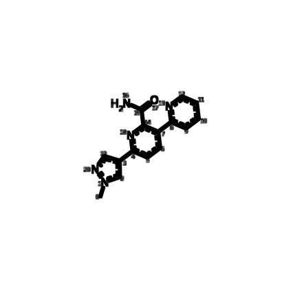 Cn1cc(-c2ccc(-c3ccccn3)c(C(N)=O)n2)cn1